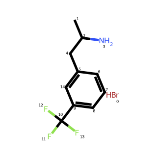 Br.CC(N)Cc1cccc(C(F)(F)F)c1